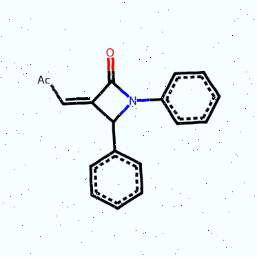 CC(=O)C=C1C(=O)N(c2ccccc2)C1c1ccccc1